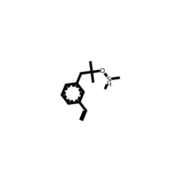 C=Cc1cccc(CC(C)(C)O[SiH](C)C)c1